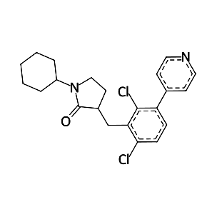 O=C1C(Cc2c(Cl)ccc(-c3ccncc3)c2Cl)CCN1C1CCCCC1